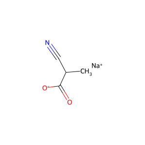 CC(C#N)C(=O)[O-].[Na+]